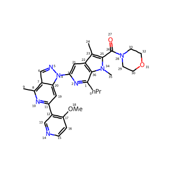 CCCc1nc(-n2ncc3c(C)nc(-c4cnccc4OC)cc32)cc2c(C)c(C(=O)N3CCOCC3)n(C)c12